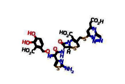 Nc1nc(/C(=N/OCc2ccc(O)c(O)c2C(=O)O)C(=O)N[C@@H]2C(=O)N3C(C(=O)O)=C(CSc4cc(CC(=O)O)nc5cnnn45)CS[C@H]23)cs1